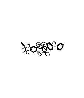 CCOC(=O)C(C)Oc1ccc2c(c1)N(C)C(=O)N(c1ccc(Oc3ccccc3)cc1)S2(=O)=O